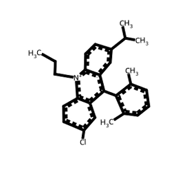 CCC[n+]1c2ccc(Cl)cc2c(-c2c(C)cccc2C)c2cc(C(C)C)ccc21